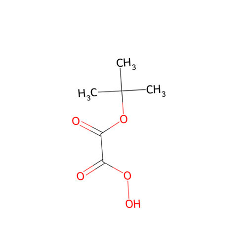 CC(C)(C)OC(=O)C(=O)OO